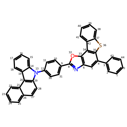 c1ccc(-c2cc3nc(-c4ccc(-n5c6ccccc6c6c7ccccc7ccc65)cc4)oc3c3c2sc2ccccc23)cc1